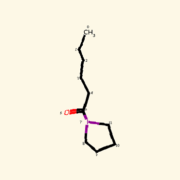 CCCCCC(=O)I1CCCC1